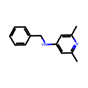 Cc1cc(NCc2ccccc2)cc(C)n1